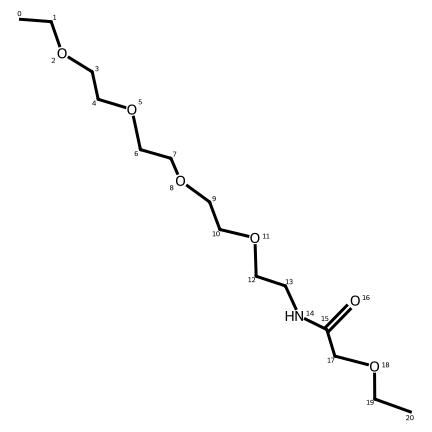 CCOCCOCCOCCOCCNC(=O)COCC